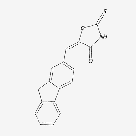 O=C1NC(=S)OC1=Cc1ccc2c(c1)Cc1ccccc1-2